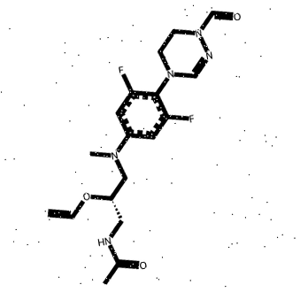 C=CO[C@@H](CNC(C)=O)CN(C)c1cc(F)c(N2C=NN(C=O)CC2)c(F)c1